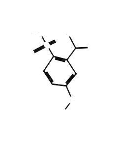 COc1ccc(S(N)(=O)=O)c(C(C)Br)c1